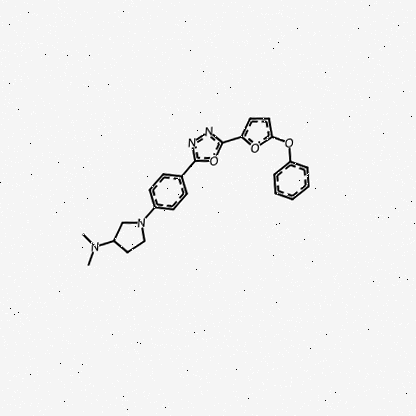 CN(C)C1CCN(c2ccc(-c3nnc(-c4ccc(Oc5ccccc5)o4)o3)cc2)C1